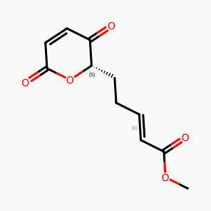 COC(=O)/C=C/CC[C@@H]1OC(=O)C=CC1=O